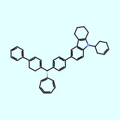 C1=CC=CC([C@H](C2=CC=C(c3ccccc3)CC2)c2ccc(-c3ccc4c(c3)c3c(n4C4CC=CCC4)CCCC3)cc2)=CC=1